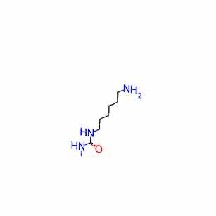 CNC(=O)NCCCCCCN